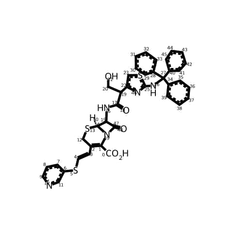 O=C(O)C1=C(C=CSc2cccnc2)CS[C@H]2C(NC(=O)C(CO)c3csc(NC(c4ccccc4)(c4ccccc4)c4ccccc4)n3)C(=O)N12